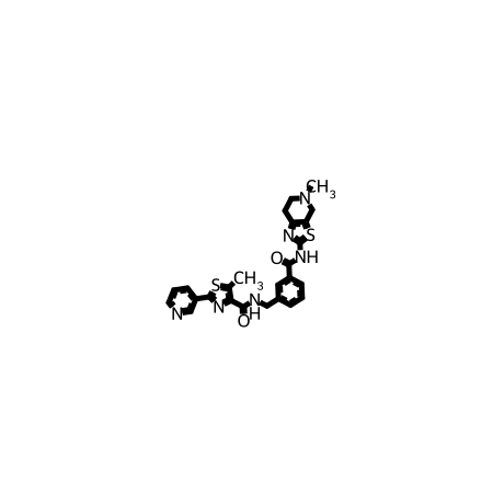 Cc1sc(-c2cccnc2)nc1C(=O)NCc1cccc(C(=O)Nc2nc3c(s2)CN(C)CC3)c1